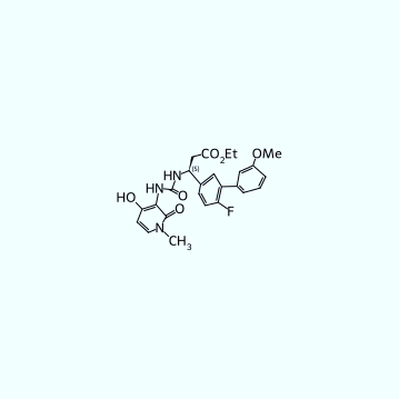 CCOC(=O)C[C@H](NC(=O)Nc1c(O)ccn(C)c1=O)c1ccc(F)c(-c2cccc(OC)c2)c1